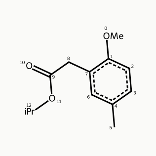 COc1ccc(C)cc1CC(=O)OC(C)C